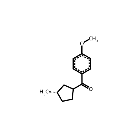 COc1ccc(C(=O)C2CC[C@H](C)C2)cc1